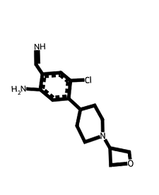 N=Cc1cc(Cl)c(C2CCN(C3COC3)CC2)cc1N